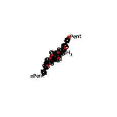 CCCCCC1CCC(C2COc3cc(C)c(N4C(=O)c5cc(Cl)c6c7c(Cl)cc8c9c(cc(Cl)c(c%10c(Cl)cc(c5c6%10)C4=O)c97)C(=O)N(c4cc5c(cc4C)OCC(C4CCC(CCCCC)CC4)CO5)C8=O)cc3OC2)CC1